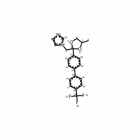 CC1COC(Cn2ccnc2)(c2ccc(-c3ccc(C(F)(F)F)cc3)cc2)O1